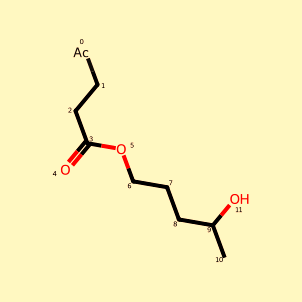 CC(=O)CCC(=O)OCCCC(C)O